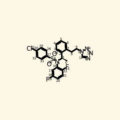 C[C@H](c1ccccc1CCn1cnnn1)N(c1cc(F)ccc1F)S(=O)(=O)c1ccc(Cl)cc1